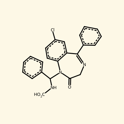 O=C(O)NC(c1ccccc1)N1C(=O)CN=C(c2ccccc2)c2cc(Cl)ccc21